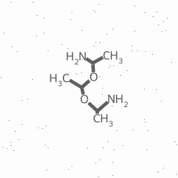 CC(N)OC(C)OC(C)N